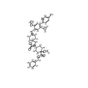 CCOc1cc(-c2ccc(F)cn2)c(C2CC2)cc1CN1CCC2(CC1)CN([C@H]1CC[C@@](C)(C(=O)OCc3ccccc3)CC1)C(=O)O2